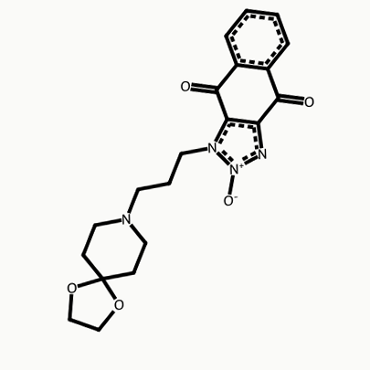 O=C1c2ccccc2C(=O)c2c1n[n+]([O-])n2CCCN1CCC2(CC1)OCCO2